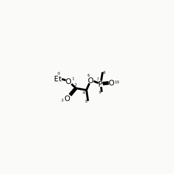 CCOC(=O)C(C)OP(C)(C)=O